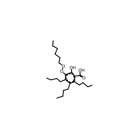 CCCCCCOOc1c(O)c(C(=O)O)c(CCCC)c(CCCC)c1CCCC